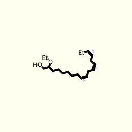 CC/C=C\C/C=C\C/C=C\CCCCCCC(CO)OCC